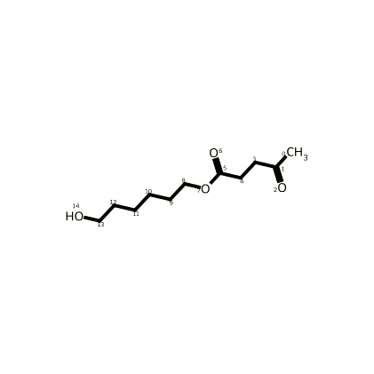 CC(=O)CCC(=O)OCCCCCCO